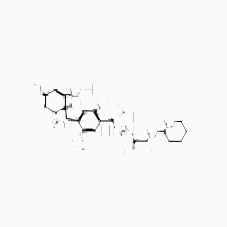 COc1cc(C(=O)NNC(=O)[C@H](C)OC2CCCCO2)c(Cl)c2c1C(=O)[C@@]1(O2)C(O)=CC(=O)C[C@H]1C